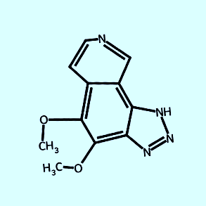 COc1c(OC)c2nn[nH]c2c2cnccc12